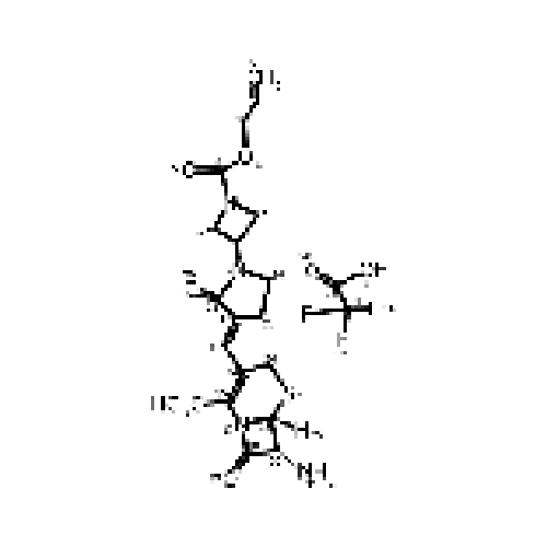 C=CCOC(=O)N1CC(N2CC/C(=C\C3=C(C(=O)O)N4C(=O)[C@@H](N)[C@H]4SC3)C2=O)C1.O=C(O)C(F)(F)F